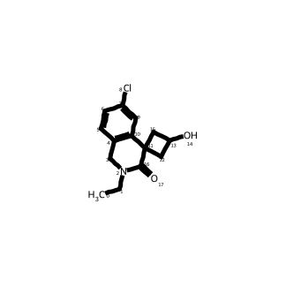 CCN1Cc2ccc(Cl)cc2C2(CC(O)C2)C1=O